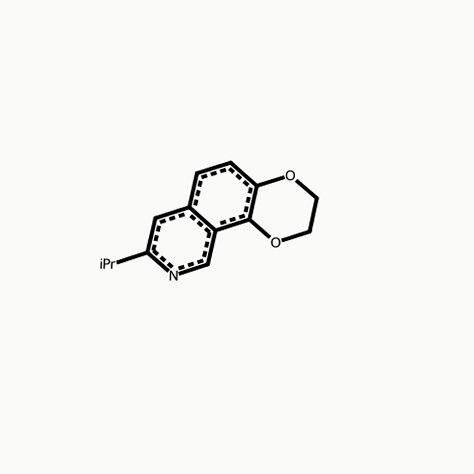 CC(C)c1cc2ccc3c(c2cn1)OCCO3